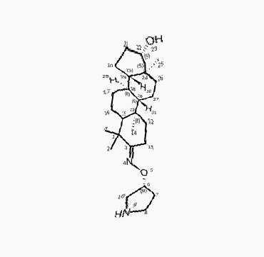 CC1(C)C(=NO[C@@H]2CCNC2)CC[C@@]2(C)C1CC[C@H]1[C@@H]3CC[C@H](O)[C@@]3(C)CC[C@@H]12